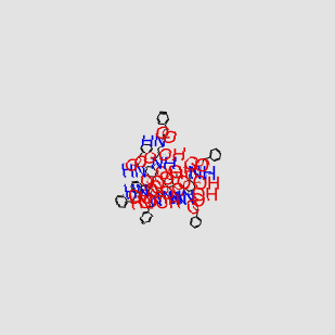 [N-]=[N+]=NC[C@H]1O[C@H](O[C@H]2[C@H](O[C@@H]3O[C@H](CO)[C@@H](O[C@H]4O[C@@H](CNC(=O)OCc5ccccc5)[C@@H](O)[C@H](O)[C@H]4NC(=O)OCc4ccccc4)[C@H]3OCCN(CCc3ccccc3)C(=O)OCc3ccccc3)[C@@H](O)[C@H](NC(=O)[C@@H](O)CCNC(=O)OCc3ccccc3)C[C@@H]2NC(=O)OCc2ccccc2)[C@H](NC(=O)OCc2ccccc2)[C@@H](O)[C@@H]1O